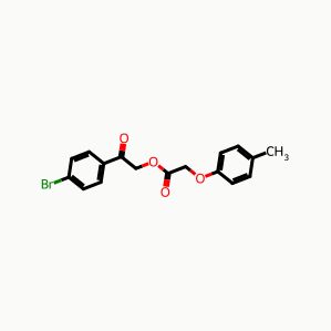 Cc1ccc(OCC(=O)OCC(=O)c2ccc(Br)cc2)cc1